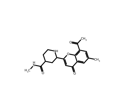 CNC(=O)C1CCNC(c2cc(=O)c3cc(C)cc(C(C)=O)c3o2)C1